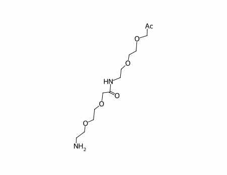 CC(=O)COCCOCCNC(=O)COCCOCCN